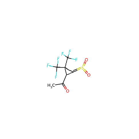 CC(=O)C1C(=S(=O)=O)C1(C(F)(F)F)C(F)(F)F